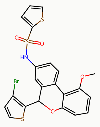 COc1cccc2c1-c1ccc(NS(=O)(=O)c3cccs3)cc1C(c1sccc1Br)O2